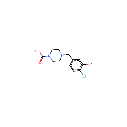 O=C(O)N1CCN(Cc2ccc(Cl)c(Br)c2)CC1